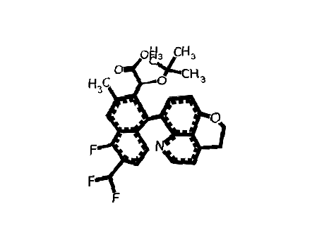 Cc1cc2c(F)c(C(F)F)ccc2c(-c2ccc3c4c(ccnc24)CCO3)c1[C@H](OC(C)(C)C)C(=O)O